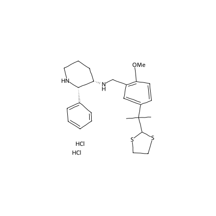 COc1ccc(C(C)(C)C2SCCS2)cc1CN[C@H]1CCCN[C@H]1c1ccccc1.Cl.Cl